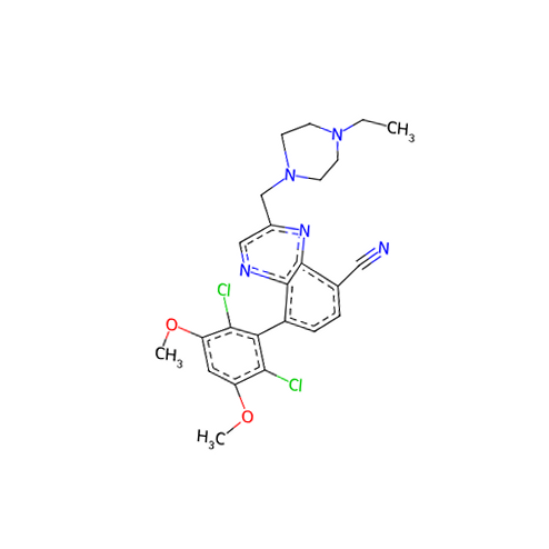 CCN1CCN(Cc2cnc3c(-c4c(Cl)c(OC)cc(OC)c4Cl)ccc(C#N)c3n2)CC1